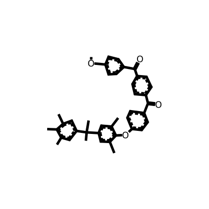 COc1ccc(C(=O)c2ccc(C(=O)c3ccc(Oc4c(C)cc(C(C)(C)c5cc(C)c(C)c(C)c5)cc4C)cc3)cc2)cc1